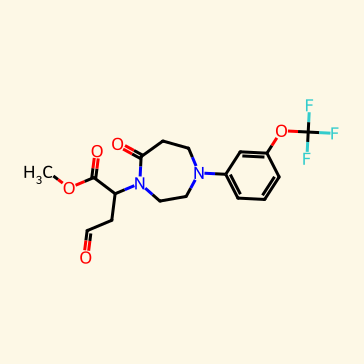 COC(=O)C(CC=O)N1CCN(c2cccc(OC(F)(F)F)c2)CCC1=O